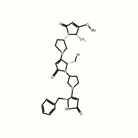 CC(C)C[C@H]1C(N2CC[C@H](N3C(=O)C=C(OC(C)(C)C)[C@@H]3C)C2)=CC(=O)N1C1CCN(C2=CC(=O)N[C@H]2Cc2ccccc2)C1